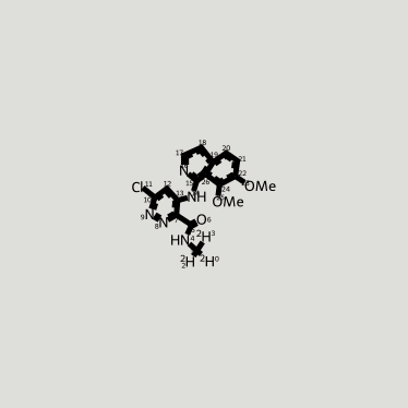 [2H]C([2H])([2H])NC(=O)c1nnc(Cl)cc1Nc1nccc2ccc(OC)c(OC)c12